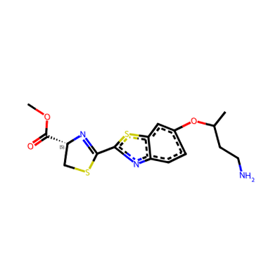 COC(=O)[C@H]1CSC(c2nc3ccc(OC(C)CCN)cc3s2)=N1